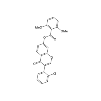 COc1cccc(OC)c1C(=O)Oc1ccc2c(=O)c(-c3ccccc3Cl)coc2c1